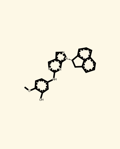 COc1ccc(Nc2ncc3cnn([C@H]4Cc5cccc6cccc4c56)c3n2)cc1O